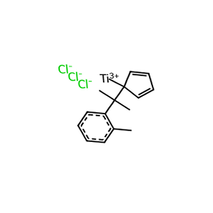 Cc1ccccc1C(C)(C)[C]1([Ti+3])C=CC=C1.[Cl-].[Cl-].[Cl-]